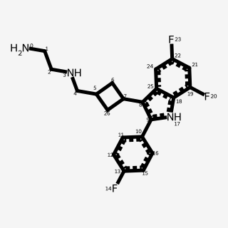 NCCNCC1CC(c2c(-c3ccc(F)cc3)[nH]c3c(F)cc(F)cc23)C1